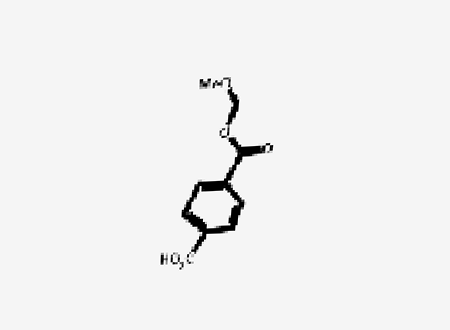 COCOC(=O)c1ccc(C(=O)O)cc1